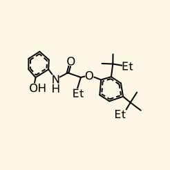 CCC(Oc1ccc(C(C)(C)CC)cc1C(C)(C)CC)C(=O)Nc1ccccc1O